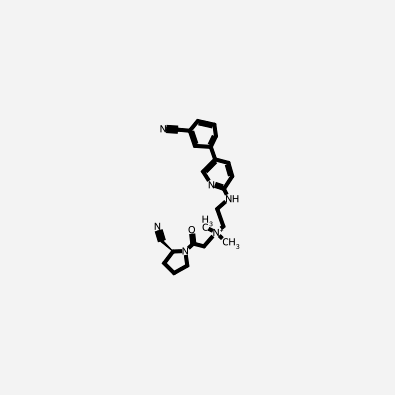 C[N+](C)(CCNc1ccc(-c2cccc(C#N)c2)cn1)CC(=O)N1CCC[C@H]1C#N